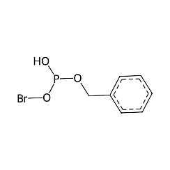 OP(OBr)OCc1ccccc1